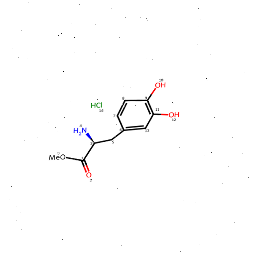 COC(=O)[C@@H](N)Cc1ccc(O)c(O)c1.Cl